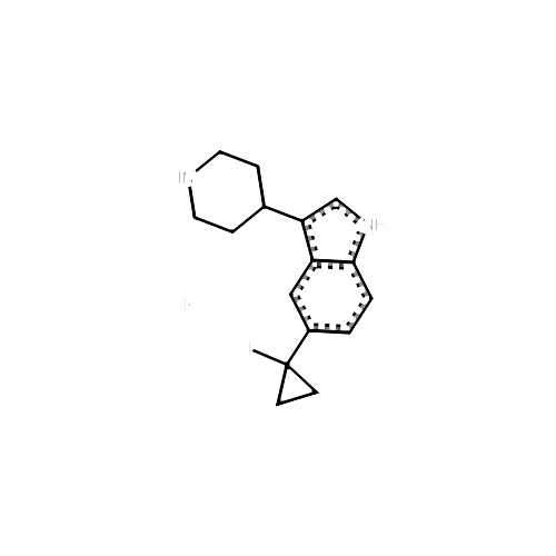 Cl.ClC1(c2ccc3[nH]cc(C4CCNCC4)c3c2)CC1